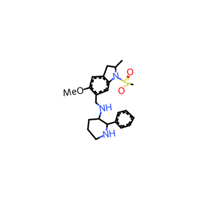 COc1cc2c(cc1CNC1CCCNC1c1ccccc1)N(S(C)(=O)=O)C(C)C2